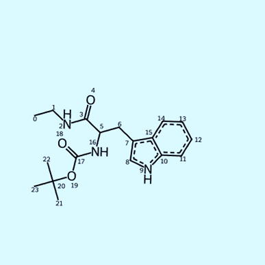 CCNC(=O)C(Cc1c[nH]c2ccccc12)NC(=O)OC(C)(C)C